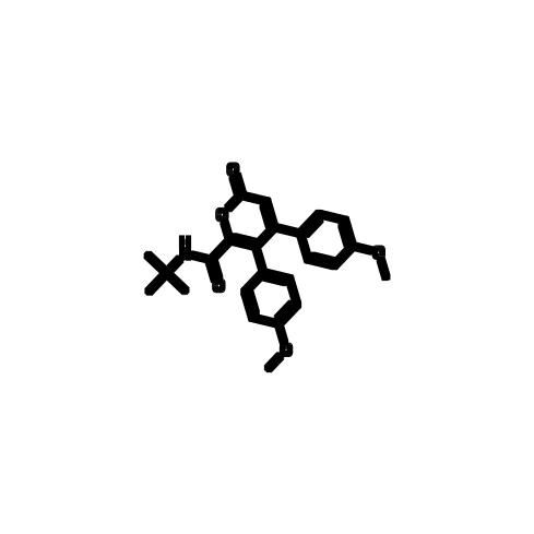 COc1ccc(-c2cc(=O)oc(C(=O)NC(C)(C)C)c2-c2ccc(OC)cc2)cc1